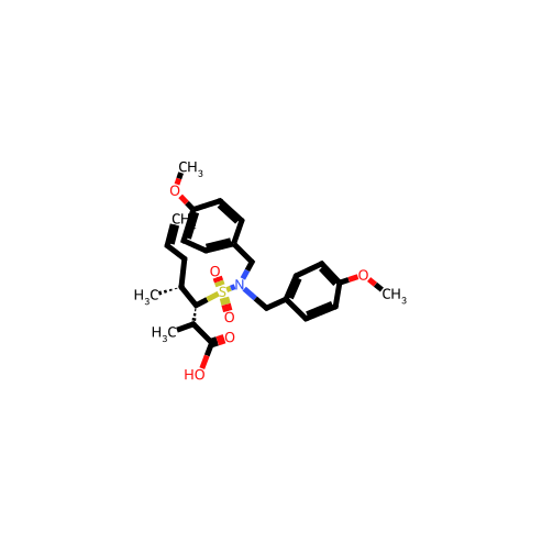 C=CC[C@@H](C)[C@@H](C(C)C(=O)O)S(=O)(=O)N(Cc1ccc(OC)cc1)Cc1ccc(OC)cc1